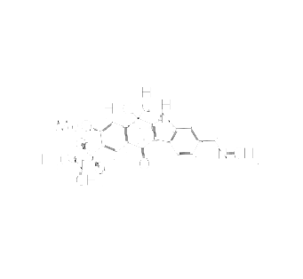 C=NCc1ccc2c3c([nH]c2c1)C(C)(C)c1cc(OC)c(S(=O)(=O)N(C)C)cc1C3=O